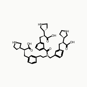 O=C(O)[C@@H](Cc1cccc(CCN(Cc2cccc(C[C@H](C(=O)O)[C@H]3CCNC3)c2)C(=O)c2cccc(C[C@H](C(=O)O)[C@H]3CCNC3)c2)c1)[C@H]1CCNC1